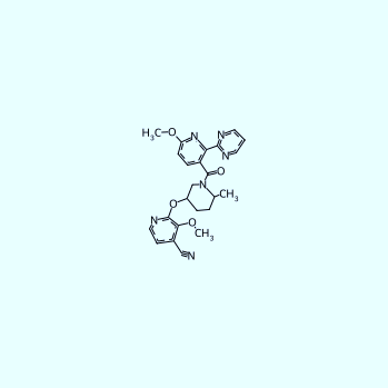 COc1ccc(C(=O)N2CC(Oc3nccc(C#N)c3OC)CCC2C)c(-c2ncccn2)n1